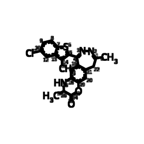 CC1=NN=C(c2sc3ccc(Cl)cc3c2C)c2cc3c(cc2C1)OC(=O)C(C)N3